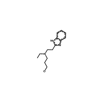 CCN(CCC[O])CCc1nc2ccccc2[nH]1